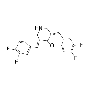 O=C1C(=Cc2ccc(F)c(F)c2)CNCC1=Cc1ccc(F)c(F)c1